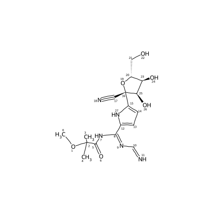 COC(C)(C)C(=O)N/C(=N/C=N)c1ccc([C@]2(C#N)O[C@H](CO)[C@@H](O)[C@H]2O)[nH]1